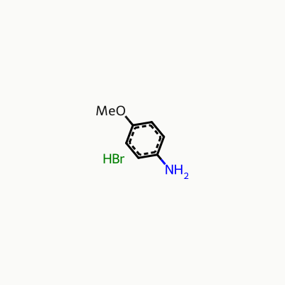 Br.COc1ccc(N)cc1